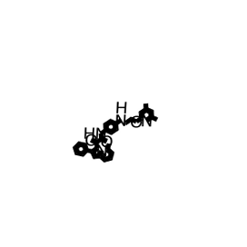 Cc1cc(C)nc(OCCNc2ccc(NC(=O)C(=O)c3c(-c4ccccc4)cc4cccc(C)n34)cc2)c1